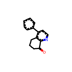 O=C1CCCc2c(-c3ccccc3)ccnc21